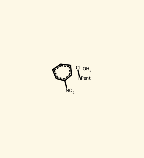 CCCCCCl.O.O=[N+]([O-])c1ccccc1